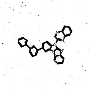 c1ccc(-c2cccc(-c3ccc4c(c3)n3c5ccccc5nc3n4-c3cnc4ccccc4n3)c2)cc1